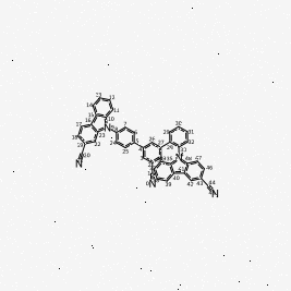 N#Cc1cc(-c2ccc(-n3c4ccccc4c4ccc(C#N)cc43)cc2)cc(-c2ccccc2-n2c3ccccc3c3cc(C#N)ccc32)c1